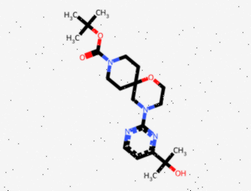 CC(C)(C)OC(=O)N1CCC2(CC1)CN(c1nccc(C(C)(C)O)n1)CCO2